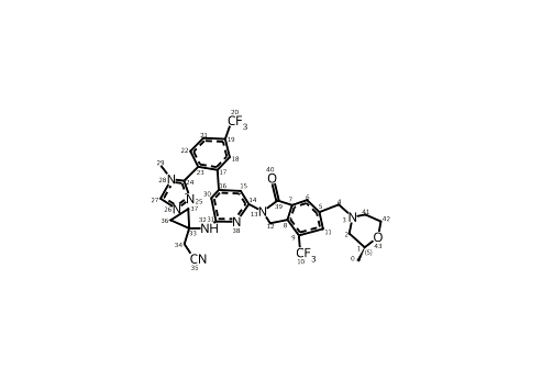 C[C@H]1CN(Cc2cc3c(c(C(F)(F)F)c2)CN(c2cc(-c4cc(C(F)(F)F)ccc4-c4nncn4C)cc(NC4(CC#N)CC4)n2)C3=O)CCO1